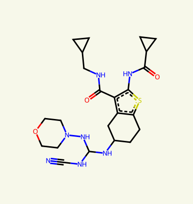 N#CNC(NC1CCc2sc(NC(=O)C3CC3)c(C(=O)NCC3CC3)c2C1)NN1CCOCC1